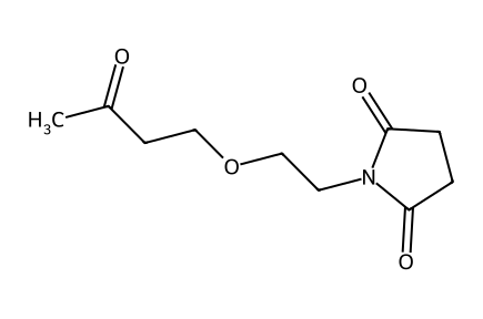 CC(=O)CCOCCN1C(=O)CCC1=O